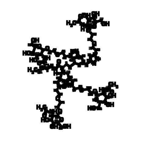 CSSCCNC(=O)[C@@H](CCCCN(Cc1cn(CCOCCOC2OC(CO)C(O)C(O)C2NC(C)=O)nn1)Cc1cn(CCOCCOC2OC(CO)C(O)C(O)C2NC(C)=O)nn1)N(Cc1cn(CCOCCOC2OC(CO)C(O)C(O)C2NC(C)=O)nn1)Cc1cn(CCOCCOC2OC(CO)C(O)C(O)C2NC(C)=O)nn1